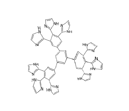 c1c[nH]c(-c2cc(-c3cc(-c4cc(-c5ncc[nH]5)c(-c5ncc[nH]5)c(-c5ncc[nH]5)c4)cc(-c4cc(-c5ncc[nH]5)c(-c5ncc[nH]5)c(-c5ncc[nH]5)c4)c3)cc(-c3ncc[nH]3)c2-c2ncc[nH]2)n1